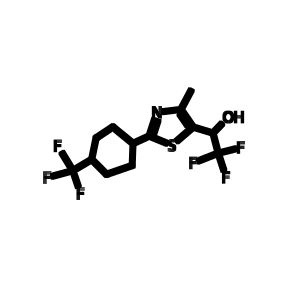 Cc1nc(C2CCC(C(F)(F)F)CC2)sc1C(O)C(F)(F)F